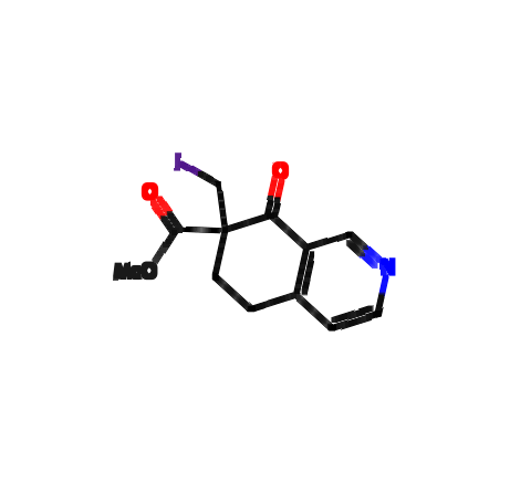 COC(=O)C1(CI)CCc2ccncc2C1=O